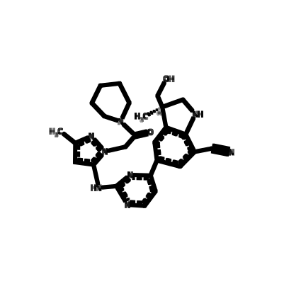 Cc1cc(Nc2nccc(-c3cc(C#N)c4c(c3)[C@@](C)(CO)CN4)n2)n(CC(=O)N2CCCCC2)n1